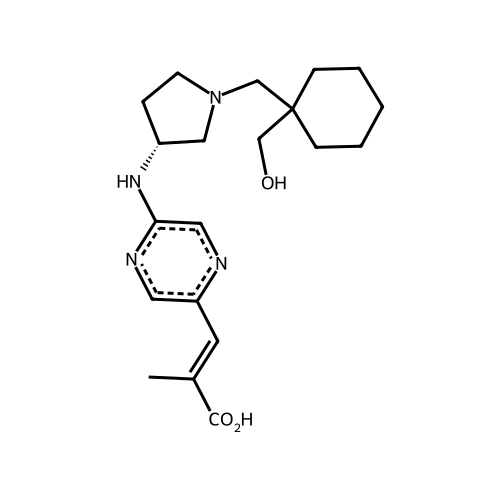 C/C(=C\c1cnc(N[C@@H]2CCN(CC3(CO)CCCCC3)C2)cn1)C(=O)O